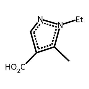 CCn1ncc(C(=O)O)c1C